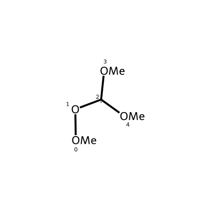 COO[C](OC)OC